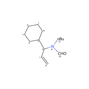 C=CC(C1CCCCC1)N(C=O)CCCC